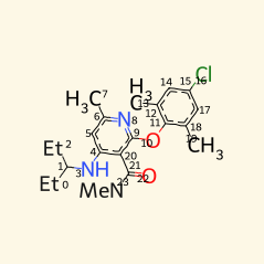 CCC(CC)Nc1cc(C)nc(Oc2c(C)cc(Cl)cc2C)c1C(=O)NC